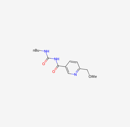 CCCCNC(=O)NC(=O)c1ccc(COC)nc1